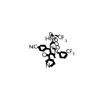 CC1=C(C(=O)c2cccnc2)C(c2ccc(C#N)cc2)N(CC(=O)NS(=O)(=O)CC(F)(F)F)C(=O)N1c1cccc(C(F)(F)F)c1